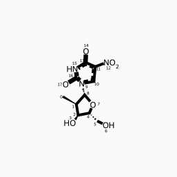 C[C@@H]1[C@H](O)[C@@H](CO)O[C@H]1n1cc([N+](=O)[O-])c(=O)[nH]c1=O